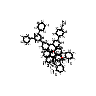 CC1(C)c2ccccc2-c2ccc3c(c21)c1ccccc1n3-c1ccc(-c2ccc(C#N)cc2)cc1-c1cc(-c2nc(-c3ccccc3)nc(-c3ccccc3)n2)ccc1-n1c2ccccc2c2c3c(ccc21)-c1ccccc1C3(C)C